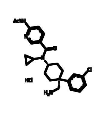 CC(=O)Nc1ccc(C(=O)N(C2CC2)[C@H]2CC[C@](CN)(c3cccc(Cl)c3)CC2)cn1.Cl